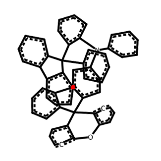 c1ccc(N(c2ccc3c(c2)-c2ccccc2C32c3ccccc3Oc3ccccc32)c2ccccc2C2(c3ccccc3)c3ccccc3-c3ccccc32)cc1